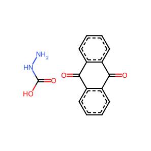 NNC(=O)O.O=C1c2ccccc2C(=O)c2ccccc21